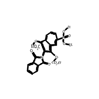 CCOC(=O)Oc1c2cccc(P(=O)(OCC)OCC)cc-2c(OC(=O)OCC)c1N1C(=O)c2ccccc2C1=O